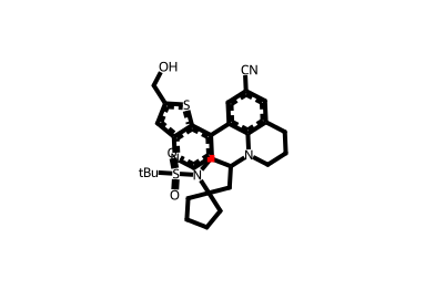 CC(C)(C)S(=O)(=O)N1CC(N2CCCc3cc(C#N)cc(-c4ccnc5cc(CO)sc45)c32)CC12CCCC2